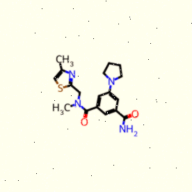 Cc1csc(CN(C)C(=O)c2cc(C(N)=O)cc(N3CCCC3)c2)n1